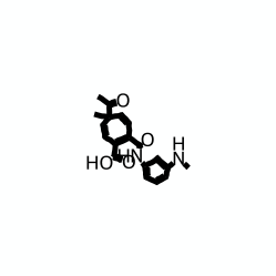 CNc1cccc(NC(=O)C2=C(C(=O)O)C=CC(C)(C(C)=O)C=C2)c1